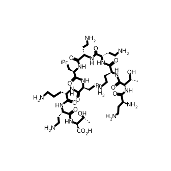 CC(C)C[C@H](NC(=O)[C@@H](CC(C)C)NC(=O)[C@H](CCN)NC(=O)[C@H](CCN)NC(=O)[C@H](CCN)NC(=O)[C@@H](NC(=O)[C@@H](N)CCN)[C@@H](C)O)C(=O)N[C@@H](CCCN)C(=O)N[C@@H](CCN)C(=O)N[C@H](C(=O)O)[C@@H](C)O